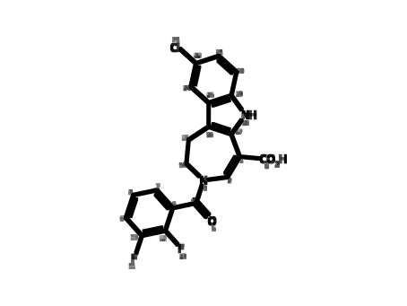 O=C(O)C1=CN(C(=O)c2cccc(F)c2F)CCc2c1[nH]c1ccc(Cl)cc21